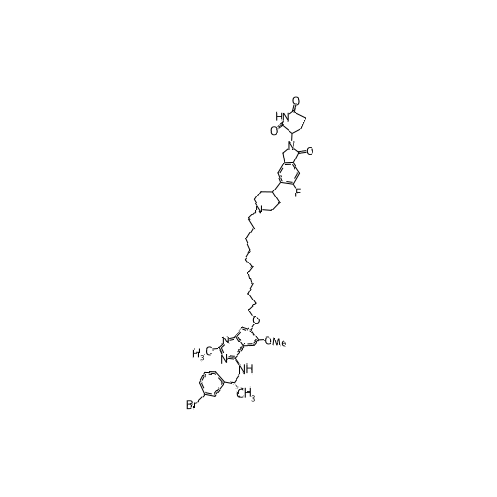 COc1cc2c(N[C@H](C)c3cccc(Br)c3)nc(C)nc2cc1OCCCCCCCCCCCN1CCC(c2cc3c(cc2F)C(=O)N(C2CCC(=O)NC2=O)C3)CC1